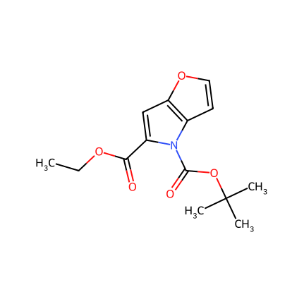 CCOC(=O)c1cc2occc2n1C(=O)OC(C)(C)C